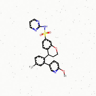 CCOc1ccc(-c2cc(C(F)(F)F)ccc2C2CCOc3cc(S(=O)(=O)Nc4ncccn4)ccc32)cn1